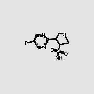 NS(=O)(=O)C1COCC1c1ncc(F)cn1